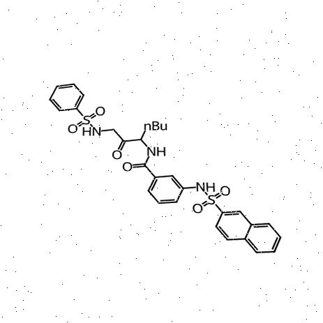 CCCCC(NC(=O)c1cccc(NS(=O)(=O)c2ccc3ccccc3c2)c1)C(=O)CNS(=O)(=O)c1ccccc1